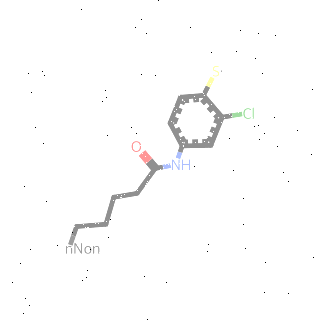 CCCCCCCCCCCCCC(=O)Nc1ccc([S])c(Cl)c1